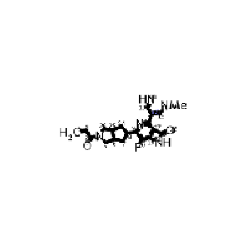 C=CC(=O)N1CC2CC(c3nc(/C(C=N)=C/NC)c4c(c3F)NC4=O)CC2C1